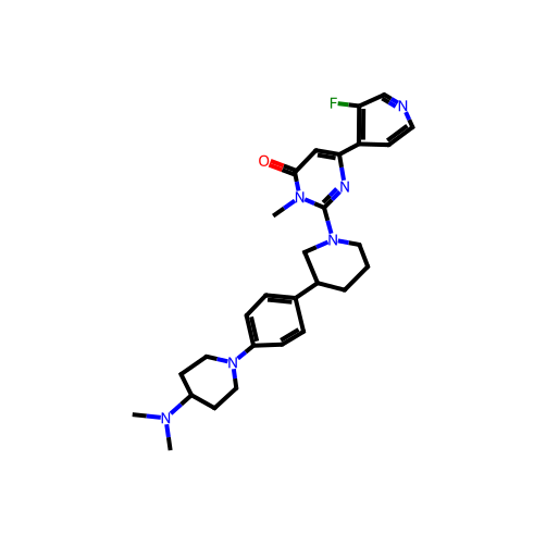 CN(C)C1CCN(c2ccc(C3CCCN(c4nc(-c5ccncc5F)cc(=O)n4C)C3)cc2)CC1